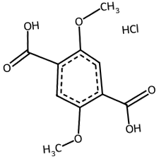 COc1cc(C(=O)O)c(OC)cc1C(=O)O.Cl